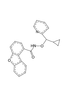 O=C(NOC(c1ccccn1)C1CC1)c1cccc2oc3ccccc3c12